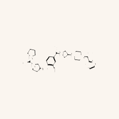 O=C(c1ccc(O[C@H]2CCN(C(=O)N3CCCC3)C2)c(I)c1)N1CC(N2CCN(C(=O)c3nccs3)CC2)C1